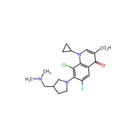 CN(C)CC1CCN(c2c(F)cc3c(=O)c(C(=O)O)cn(C4CC4)c3c2Cl)C1